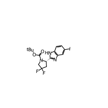 CC(C)(C)OC(=O)N1CC(F)(F)C[C@H]1c1nc2cc(I)ccc2[nH]1